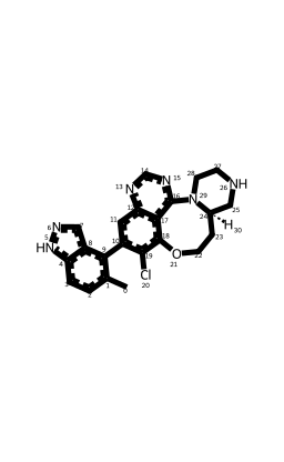 Cc1ccc2[nH]ncc2c1-c1cc2ncnc3c2c(c1Cl)OCC[C@@H]1CNCCN31